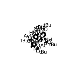 CC(=O)OC1[C@@H](NC(=O)OC(C)(C)C)C(O[C@H]2O[C@H](CNC(=O)OC(C)(C)C)CCC2NC(=O)OC(C)(C)C)C(OS(C)(=O)=O)[C@@H](O[C@H]2OC=C(C)[C@H](N(C)C(=O)OC(C)(C)C)C2OC(C)=O)[C@@H]1NC(=O)OC(C)(C)C